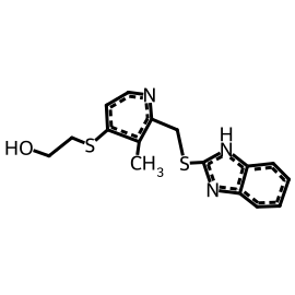 Cc1c(SCCO)ccnc1CSc1nc2ccccc2[nH]1